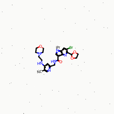 CC(C)n1cc(C(=O)NCc2cc(NCCN3CCOCC3)c(C#N)cn2)c2nc(C3OCCO3)c(Br)cc21